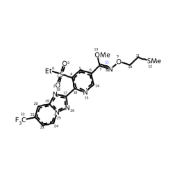 CCS(=O)(=O)c1cc(/C(=N/OCCSC)OC)cnc1-c1nc2cc(C(F)(F)F)ccn2n1